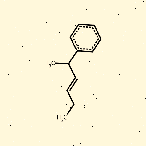 [CH2]C/C=C/C(C)c1ccccc1